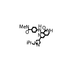 CNC(=O)c1ccc(Nc2nc(C3C=NN(CC(C)C)C3)cc3cc[nH]c(=O)c23)cc1